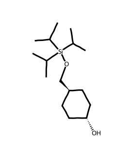 CC(C)[Si](OC[C@H]1CC[C@H](O)CC1)(C(C)C)C(C)C